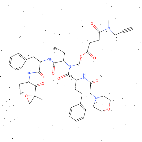 C#CCN(C)C(=O)CCC(=O)OCN(C(=O)C(CCc1ccccc1)NC(=O)CN1CCOCC1)C(CC(C)C)C(=O)NC(Cc1ccccc1)C(=O)NC(CC(C)C)C(=O)C1(C)CO1